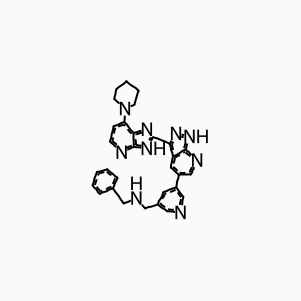 c1ccc(CNCc2cncc(-c3cnc4[nH]nc(-c5nc6c(N7CCCCC7)ccnc6[nH]5)c4c3)c2)cc1